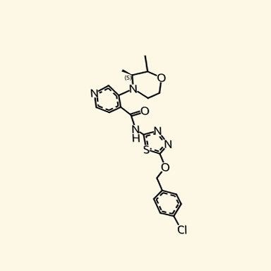 CC1OCCN(c2cnccc2C(=O)Nc2nnc(OCc3ccc(Cl)cc3)s2)[C@H]1C